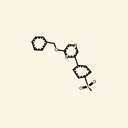 CS(=O)(=O)c1ccc(-c2cncc(OCc3ccccc3)n2)cc1